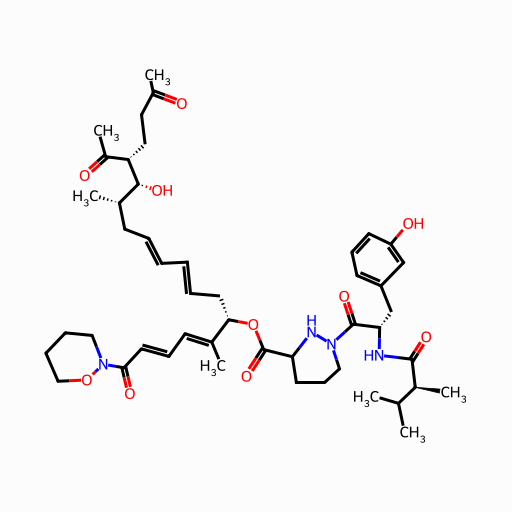 CC(=O)CC[C@@H](C(C)=O)[C@H](O)[C@@H](C)C/C=C/C=C/C[C@H](OC(=O)C1CCCN(C(=O)[C@H](Cc2cccc(O)c2)NC(=O)[C@@H](C)C(C)C)N1)/C(C)=C/C=C/C(=O)N1CCCCO1